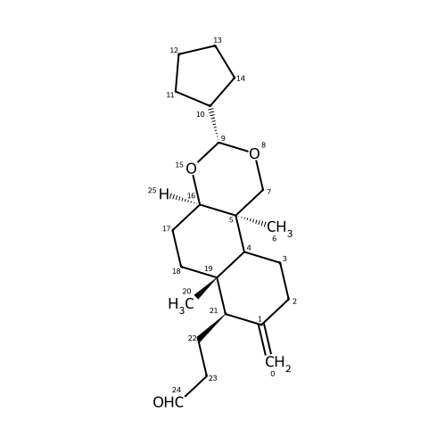 C=C1CCC2[C@]3(C)CO[C@@H](C4CCCC4)O[C@@H]3CC[C@@]2(C)[C@@H]1CCC=O